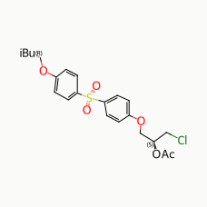 CC[C@@H](C)COc1ccc(S(=O)(=O)c2ccc(OC[C@@H](CCl)OC(C)=O)cc2)cc1